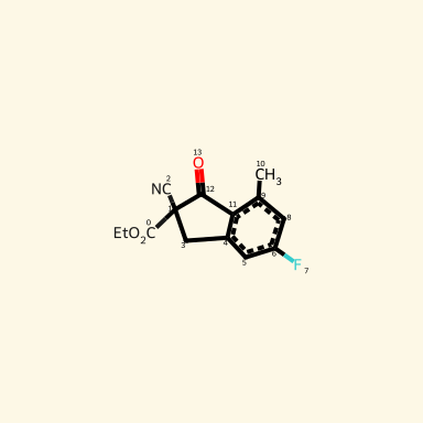 CCOC(=O)C1(C#N)Cc2cc(F)cc(C)c2C1=O